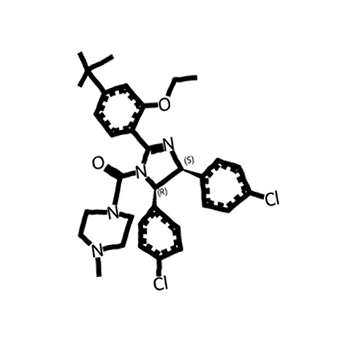 CCOc1cc(C(C)(C)C)ccc1C1=N[C@@H](c2ccc(Cl)cc2)[C@@H](c2ccc(Cl)cc2)N1C(=O)N1CCN(C)CC1